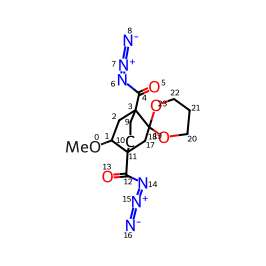 COC1CC2(C(=O)N=[N+]=[N-])CCC1(C(=O)N=[N+]=[N-])CC21OCCCO1